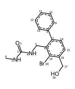 CNC(=O)NCc1c(-c2ccccc2)ccc(CO)c1Br